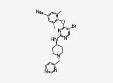 Cc1cc(C#N)cc(C)c1Oc1nc(NC2CCN(Cc3ccncn3)CC2)ncc1Br